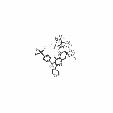 CC1(C)Cc2nc(C3CCOCC3)c([C@H](O)c3ccc(C(F)(F)F)cc3)c(I)c2[C@@H](O[Si](C)(C)C(C)(C)C)C1